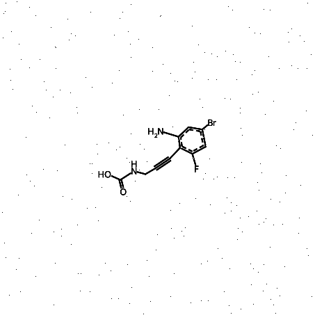 Nc1cc(Br)cc(F)c1C#CCNC(=O)O